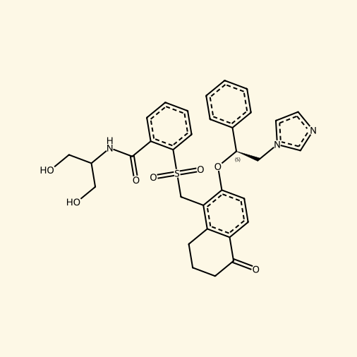 O=C(NC(CO)CO)c1ccccc1S(=O)(=O)Cc1c(O[C@H](Cn2ccnc2)c2ccccc2)ccc2c1CCCC2=O